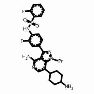 CC(C)n1nc(-c2ccc(NS(=O)(=O)c3ccccc3F)c(F)c2)c2c(N)ncc(C3CCC(N)CC3)c21